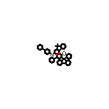 CC1(C)c2ccccc2-c2ccc(N(c3ccc(-c4ccccc4)cc3)c3ccccc3-c3ccc4c(c3)C3(c5ccccc5O4)c4ccccc4-c4ccccc43)cc21